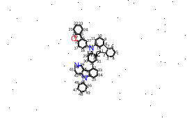 CC12c3ccccc3-c3cccc(c31)N(c1ccc3oc4ccccc4c3c1)c1ccc(-c3cccc4c3c3cnccc3n4-c3ccccc3)cc12